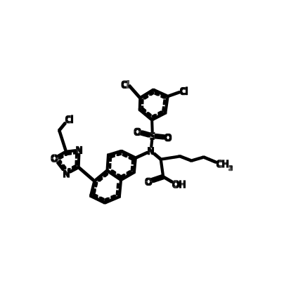 CCCCC(C(=O)O)N(c1ccc2c(-c3noc(CCl)n3)cccc2c1)S(=O)(=O)c1cc(Cl)cc(Cl)c1